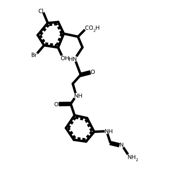 NN=CNc1cccc(C(=O)NCC(=O)NCC(C(=O)O)c2cc(Cl)cc(Br)c2O)c1